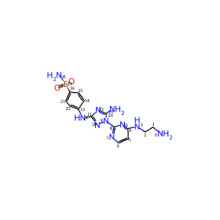 NCCNc1ccnc(-n2nc(Nc3ccc(S(N)(=O)=O)cc3)nc2N)n1